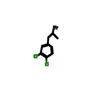 CC(C)C(C)Cc1ccc(Cl)c(Cl)c1